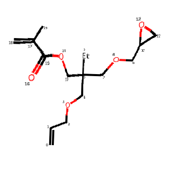 C=CCOCC(CC)(COCC1CO1)COC(=O)C(=C)C